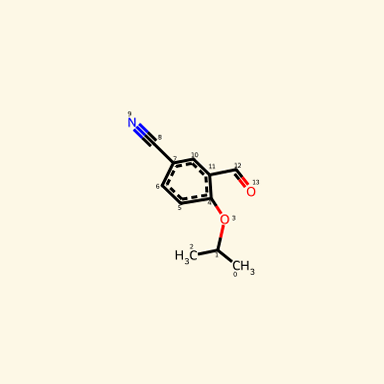 CC(C)Oc1ccc(C#N)cc1C=O